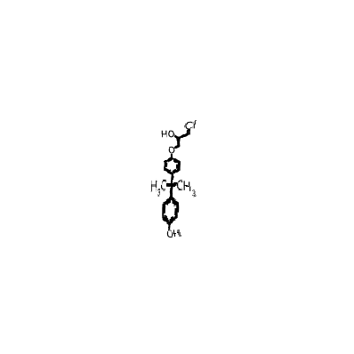 CC(C)(c1ccc(O)cc1)c1ccc(OCC(O)CCl)cc1